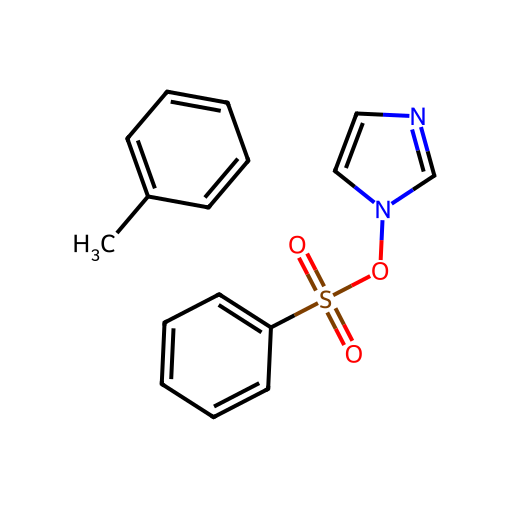 Cc1ccccc1.O=S(=O)(On1ccnc1)c1ccccc1